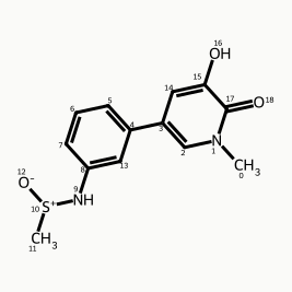 Cn1cc(-c2cccc(N[S+](C)[O-])c2)cc(O)c1=O